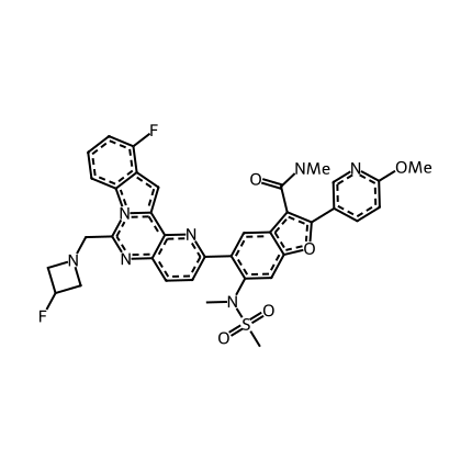 CNC(=O)c1c(-c2ccc(OC)nc2)oc2cc(N(C)S(C)(=O)=O)c(-c3ccc4nc(CN5CC(F)C5)n5c6cccc(F)c6cc5c4n3)cc12